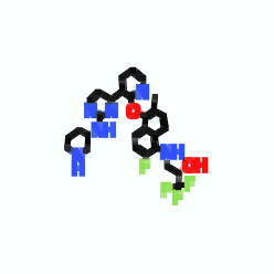 Cc1ccc2c(NC[C@H](O)C(F)(F)F)c(F)ccc2c1Oc1ncccc1-c1ccnc(N[C@H]2CCCNC2)n1